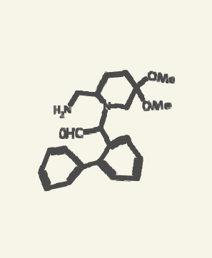 COC1(OC)CCC(CN)N(C(C=O)c2ccccc2-c2ccccc2)C1